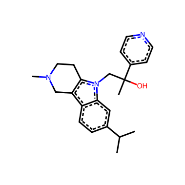 CC(C)c1ccc2c3c(n(CC(C)(O)c4ccncc4)c2c1)CCN(C)C3